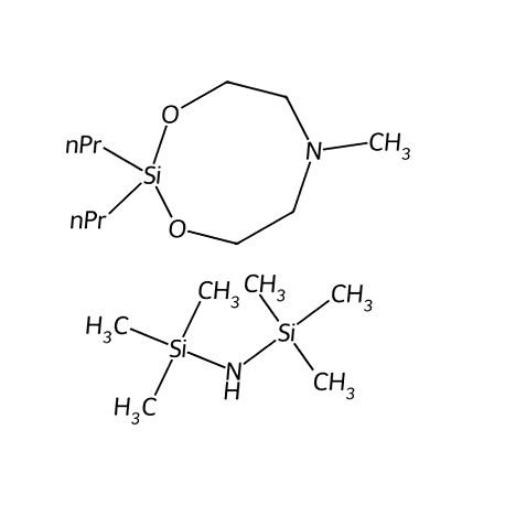 CCC[Si]1(CCC)OCCN(C)CCO1.C[Si](C)(C)N[Si](C)(C)C